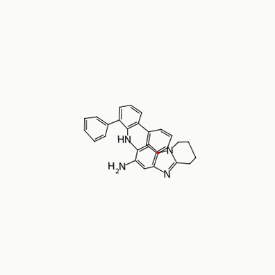 Nc1cc2nc3n(c2cc1Nc1c(-c2ccccc2)cccc1-c1ccccc1)CCCC3